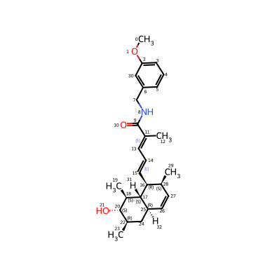 COc1cccc(CNC(=O)/C(C)=C/C=C/[C@@H]2[C@H]3[C@H](C)[C@@H](O)[C@H](C)C[C@@H]3C=C[C@@H]2C)c1